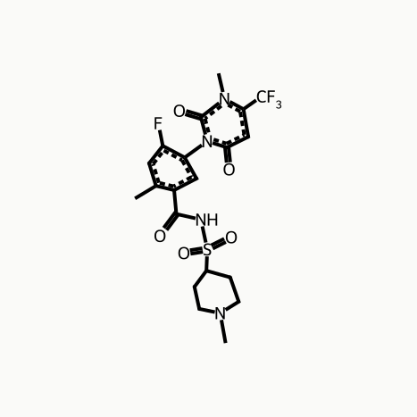 Cc1cc(F)c(-n2c(=O)cc(C(F)(F)F)n(C)c2=O)cc1C(=O)NS(=O)(=O)C1CCN(C)CC1